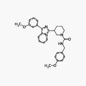 COc1ccc(CNC(=O)N2CCCC(c3nc(-c4cccc(OC)c4)c4ccccn34)C2)cc1